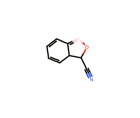 N#CC1OB=C2C=CC=CC21